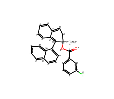 COC1(OC(=O)c2cccc(Cl)c2)CC=c2ccccc2=C1c1cccc2ccccc12